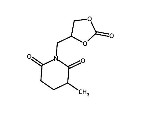 CC1CCC(=O)N(CC2COC(=O)O2)C1=O